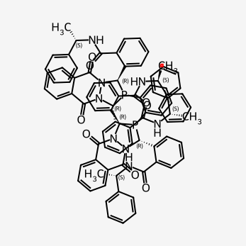 C[C@H](NC(=O)c1ccccc1[C@@H]1n2c(=O)c3ccccc3c(=O)n2[C@@H](c2ccccc2C(=O)N[C@@H](C)c2ccccc2)P1c1ccccc1P1[C@H](c2ccccc2C(=O)N[C@@H](C)c2ccccc2)n2c(=O)c3ccccc3c(=O)n2[C@H]1c1ccccc1C(=O)N[C@@H](C)c1ccccc1)c1ccccc1